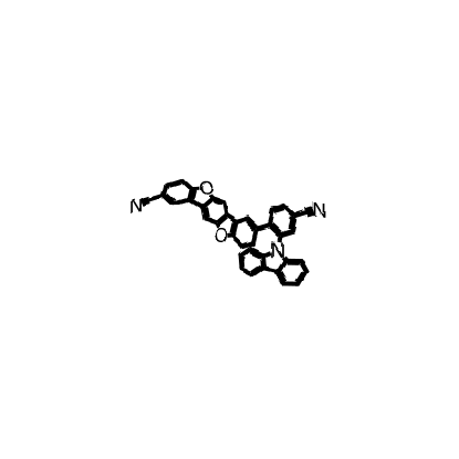 N#Cc1ccc(C2=Cc3c(oc4cc5c(cc34)oc3ccc(C#N)cc35)CC2)c(-n2c3ccccc3c3ccccc32)c1